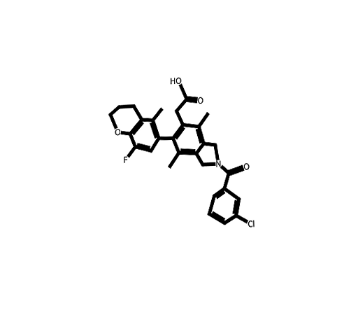 Cc1c(-c2c(C)c3c(c(C)c2CC(=O)O)CN(C(=O)c2cccc(Cl)c2)C3)cc(F)c2c1CCCO2